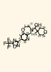 C[C@H]1COc2cc(-c3noc(C(F)(F)F)n3)cnc2CN1C(O)C1(C)CCOCC1